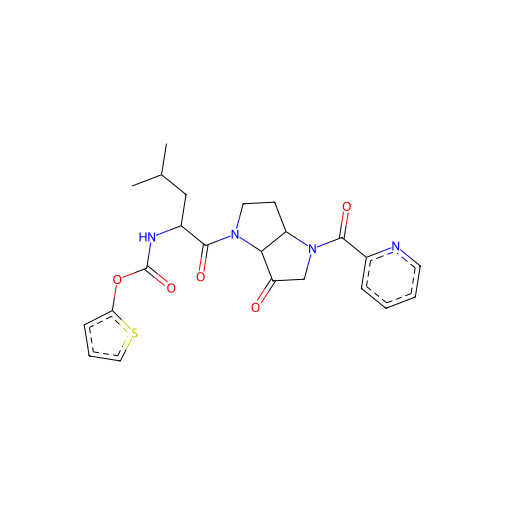 CC(C)CC(NC(=O)Oc1cccs1)C(=O)N1CCC2C1C(=O)CN2C(=O)c1ccccn1